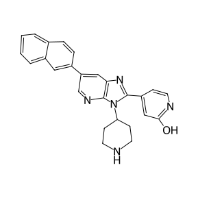 Oc1cc(-c2nc3cc(-c4ccc5ccccc5c4)cnc3n2C2CCNCC2)ccn1